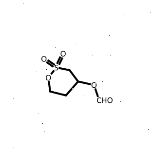 O=COC1CCOS(=O)(=O)C1